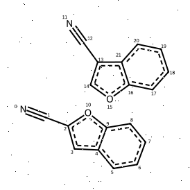 N#Cc1cc2ccccc2o1.N#Cc1coc2ccccc12